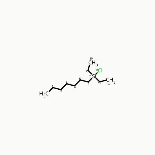 CCCCCCC[Si](Cl)(CC)CC